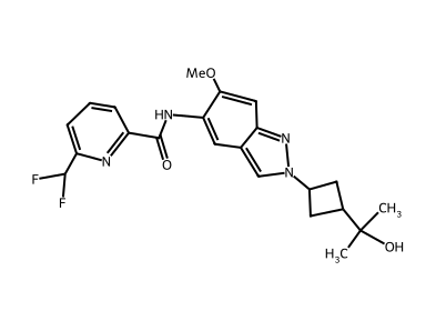 COc1cc2nn(C3CC(C(C)(C)O)C3)cc2cc1NC(=O)c1cccc(C(F)F)n1